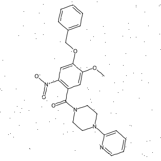 COc1cc(C(=O)N2CCN(c3ccccn3)CC2)c([N+](=O)[O-])cc1OCc1ccccc1